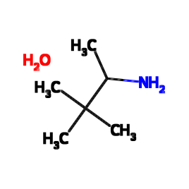 CC(N)C(C)(C)C.O